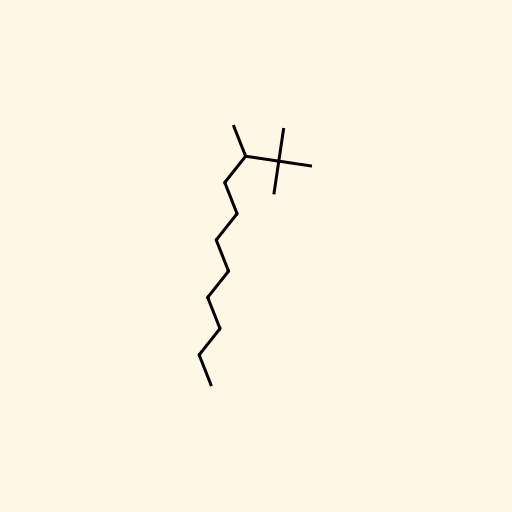 CCCCCCCC[C](C)C(C)(C)C